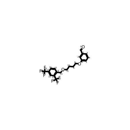 O=Cc1cccc(OCCCCOCc2ccc(C(F)(F)F)cc2C(F)(F)F)c1